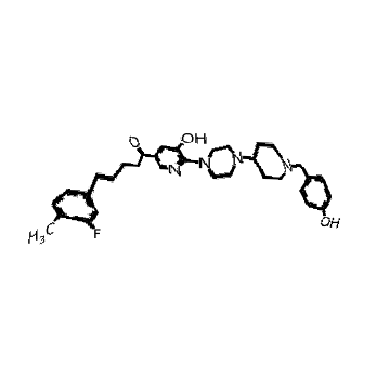 Cc1ccc(CCCCC(=O)c2cnc(N3CCN(C4CCN(Cc5ccc(O)cc5)CC4)CC3)c(O)c2)cc1F